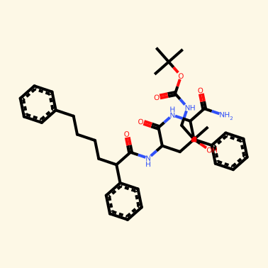 CC(O)(CNC(=O)OC(C)(C)C)CC(NC(=O)C(CCCCc1ccccc1)c1ccccc1)C(=O)NC(Cc1ccccc1)C(N)=O